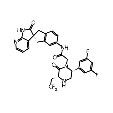 O=C(CN1C(=O)[C@@H](CC(F)(F)F)NC[C@H]1c1cc(F)cc(F)c1)Nc1ccc2c(c1)C[C@@]1(C2)C(=O)Nc2ncccc21